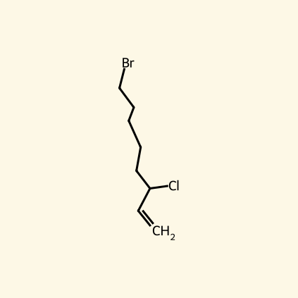 C=CC(Cl)CCCCCBr